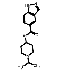 CC(C)N1CCC(NC(=O)c2ccc3[nH]ncc3c2)CC1